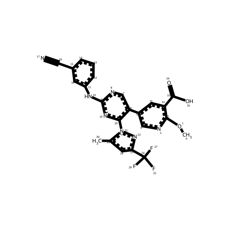 COc1ncc(-c2cnc(Nc3cccc(C#N)c3)nc2-n2nc(C(F)(F)F)cc2C)cc1C(=O)O